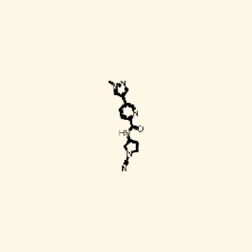 Cn1cc(-c2ccc(C(=O)NC3CCN(C#N)C3)nc2)cn1